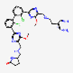 COc1nc(-c2cccc(-c3cccc(-c4cnc(CNCC5CCC(=O)N5)c(OC)n4)c3Cl)c2Cl)cnc1CNCC/C(C=N)=C/N